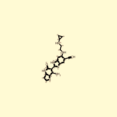 C#Cc1cc2nc(-c3c(N)c4sccc4[nH]c3=O)[nH]c2cc1NCCNC1CC1